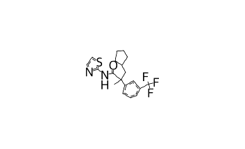 CC(CC1CCCC1)(C(=O)Nc1nccs1)c1cccc(C(F)(F)F)c1